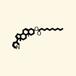 CCCCCCCCCC(=O)OC1CC[C@@]2(C)C(=CCC3C4CC=C(c5cccnc5)C4(C)CCC32)C1